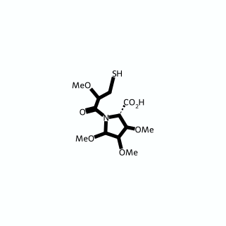 COC(CS)C(=O)N1C(OC)C(OC)C(OC)[C@H]1C(=O)O